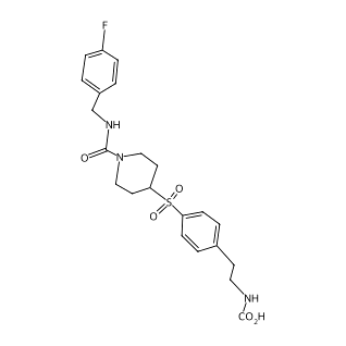 O=C(O)NCCc1ccc(S(=O)(=O)C2CCN(C(=O)NCc3ccc(F)cc3)CC2)cc1